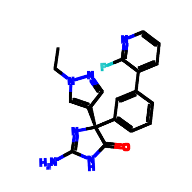 CCn1cc([C@]2(c3cccc(-c4cccnc4F)c3)N=C(N)NC2=O)cn1